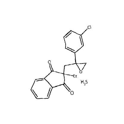 CCC1(CC2(c3cccc(Cl)c3)CO2)C(=O)c2ccccc2C1=O.S